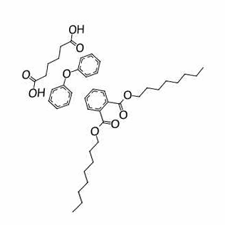 CCCCCCCCOC(=O)c1ccccc1C(=O)OCCCCCCCC.O=C(O)CCCCC(=O)O.c1ccc(Oc2ccccc2)cc1